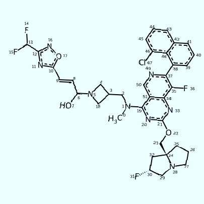 CN(CC1CN(C(O)/C=C/c2nc(C(F)F)no2)C1)c1nc(OC[C@@]23CCCN2C[C@H](F)C3)nc2c(F)c(-c3cccc4cccc(Cl)c34)ncc12